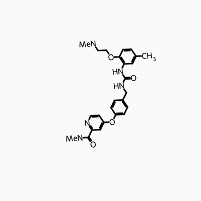 CNCCOc1ccc(C)cc1NC(=O)NCc1ccc(Oc2ccnc(C(=O)NC)c2)cc1